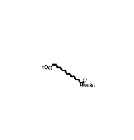 CCCCCCCC/C=C\CCCCCCCCCCCC(=O)NCCCC